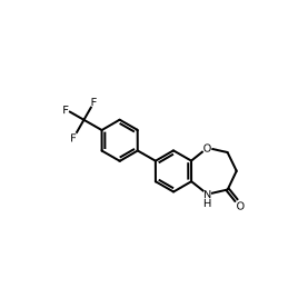 O=C1CCOc2cc(-c3ccc(C(F)(F)F)cc3)ccc2N1